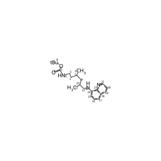 CC(CCNC(=O)OC(C)(C)C)CC(C)CNc1cccc2cccnc12